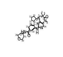 CN1C(=O)C(C)(C)CN(C2CCCC2)c2nc(Nc3cccc(C(=O)NC4CCOCC4)c3)ncc21